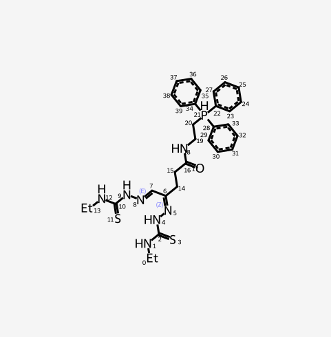 CCNC(=S)N/N=C(\C=N\NC(=S)NCC)CCC(=O)NCC[PH](c1ccccc1)(c1ccccc1)c1ccccc1